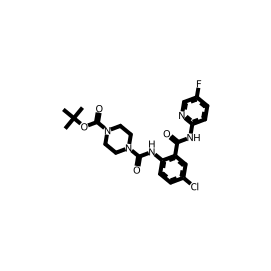 CC(C)(C)OC(=O)N1CCN(C(=O)Nc2ccc(Cl)cc2C(=O)Nc2ccc(F)cn2)CC1